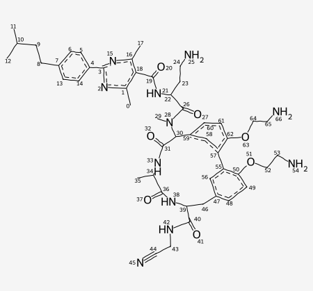 Cc1nc(-c2ccc(CCC(C)C)cc2)nc(C)c1C(=O)NC(CCN)C(=O)N(C)C1C(=O)NC(C)C(=O)NC(C(=O)NCC#N)Cc2ccc(OCCN)c(c2)-c2cc1ccc2OCCN